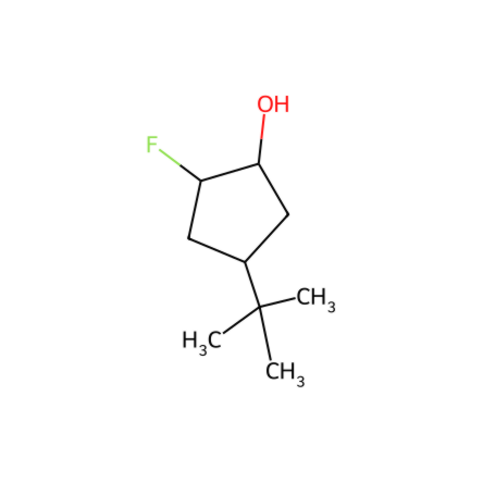 CC(C)(C)C1CC(O)C(F)C1